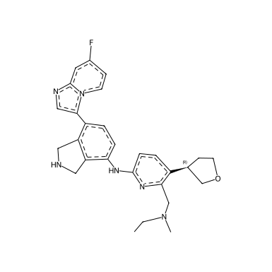 CCN(C)Cc1nc(Nc2ccc(-c3cnc4cc(F)ccn34)c3c2CNC3)ccc1[C@H]1CCOC1